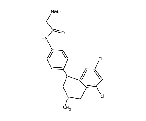 CNCC(=O)Nc1ccc(C2CN(C)Cc3c(Cl)cc(Cl)cc32)cc1